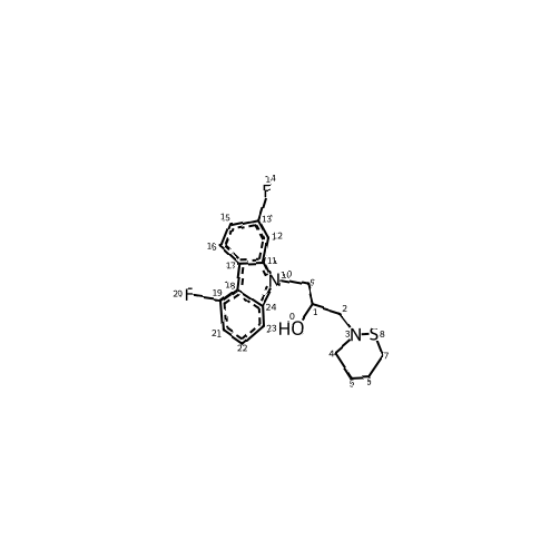 OC(CN1CCCCS1)Cn1c2cc(F)ccc2c2c(F)cccc21